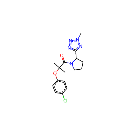 Cn1nnc([C@@H]2CCCN2C(=O)C(C)(C)Oc2ccc(Cl)cc2)n1